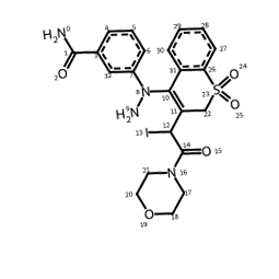 NC(=O)c1cccc(N(N)C2=C(C(I)C(=O)N3CCOCC3)CS(=O)(=O)c3ccccc32)c1